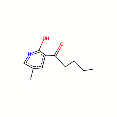 CCCCC(=O)c1cc(I)cnc1O